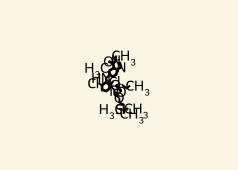 CCCS(=O)(=O)N(COCC[Si](C)(C)C)c1ccc(Cl)c(Nc2ccc3ncn(C)c(=O)c3c2C)c1Cl